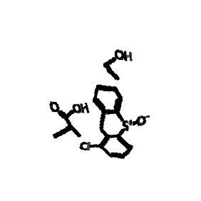 C=C(C)C(=O)O.CCO.[O-][S+]1c2ccccc2Cc2c(Cl)cccc21